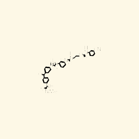 CNC(=O)Nc1ccc(C(=O)c2ccc(NC(=O)Nc3cccc(NC(=O)NCCCOC(=O)Nc4cccc(C#N)c4)c3)cc2)cc1